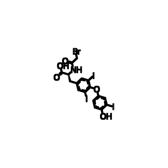 O=C(CBr)N[C@@H](Cc1cc(I)c(Oc2ccc(O)c(I)c2)c(I)c1)C(=O)O